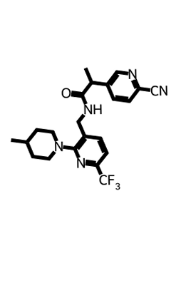 CC1CCN(c2nc(C(F)(F)F)ccc2CNC(=O)C(C)c2ccc(C#N)nc2)CC1